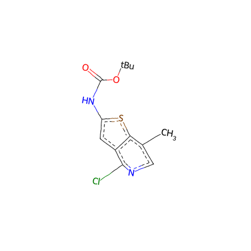 Cc1cnc(Cl)c2cc(NC(=O)OC(C)(C)C)sc12